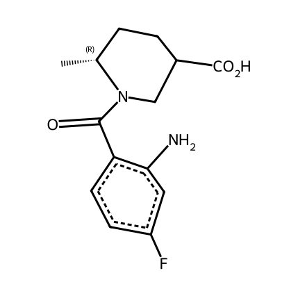 C[C@@H]1CCC(C(=O)O)CN1C(=O)c1ccc(F)cc1N